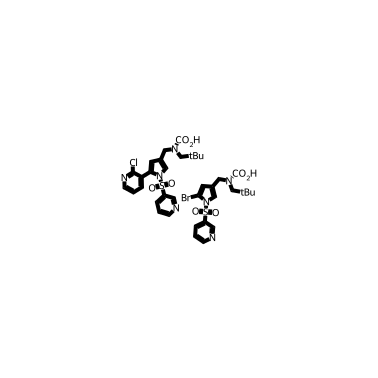 CC(C)(C)CN(Cc1cc(-c2cccnc2Cl)n(S(=O)(=O)c2cccnc2)c1)C(=O)O.CC(C)(C)CN(Cc1cc(Br)n(S(=O)(=O)c2cccnc2)c1)C(=O)O